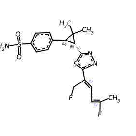 C/C(F)=C\C=C(/CF)c1nnc([C@@H]2[C@@H](c3ccc(S(N)(=O)=O)cc3)C2(C)C)s1